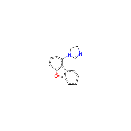 C1=NCCN1c1cccc2oc3ccccc3c12